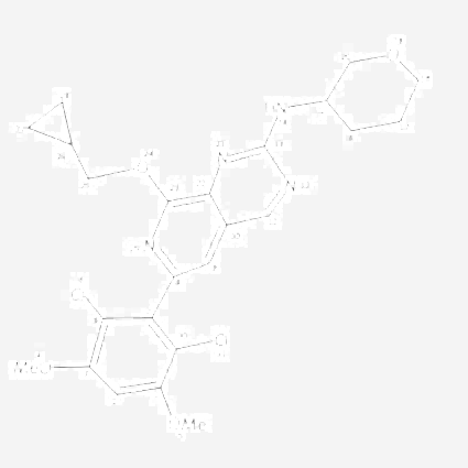 COc1cc(OC)c(Cl)c(-c2cc3cnc(NC4CCCOC4)nc3c(OCC3CC3)n2)c1Cl